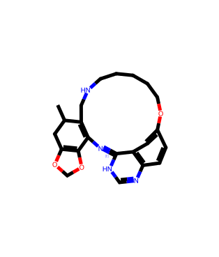 CC1CC2=C(OCO2)C2=C1CNCCCCCOc1ccc3c(c1)/C(=N\2)NC=N3